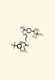 CCOC(=O)[C@@H](CCCN[C@H]1CN(C(=O)OC(C)(C)C)CCC1C(=O)O)Nc1cc(Cl)cc(C(F)(F)F)c1